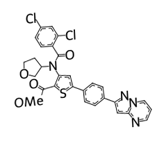 COC(=O)c1sc(-c2ccc(-c3cc4ncccn4n3)cc2)cc1N(C(=O)c1ccc(Cl)cc1Cl)C1CCOC1